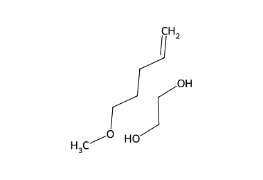 C=CCCCOC.OCCO